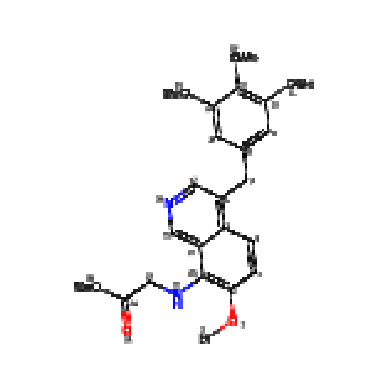 CCOc1ccc2c(Cc3cc(OC)c(OC)c(OC)c3)cncc2c1NCC(=O)OC